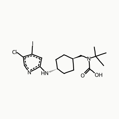 CC(C)(C)N(C[C@H]1CC[C@H](Nc2cc(I)c(Cl)cn2)CC1)C(=O)O